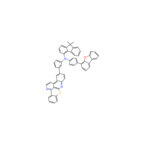 CC1(C)c2ccccc2-c2c(N(c3ccc(-c4cccc5c4oc4ccccc45)cc3)c3cccc(-c4ccc5nc6c7c(nccc7c5c4)-c4ccccc4S6)c3)cccc21